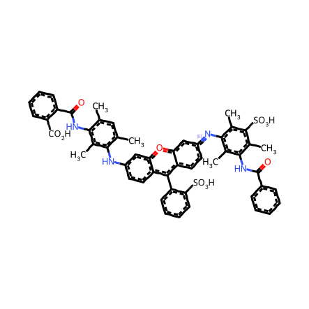 Cc1cc(C)c(Nc2ccc3c(-c4ccccc4S(=O)(=O)O)c4cc/c(=N\c5c(C)c(NC(=O)c6ccccc6)c(C)c(S(=O)(=O)O)c5C)cc-4oc3c2)c(C)c1NC(=O)c1ccccc1C(=O)O